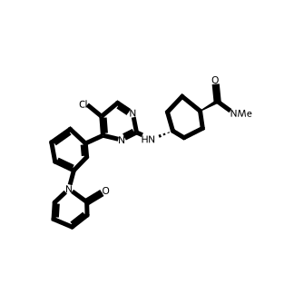 CNC(=O)[C@H]1CC[C@H](Nc2ncc(Cl)c(-c3cccc(-n4ccccc4=O)c3)n2)CC1